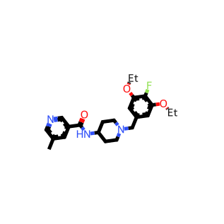 CCOc1cc(CN2CCC(NC(=O)c3cncc(C)c3)CC2)cc(OCC)c1F